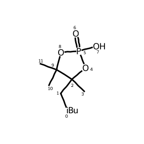 CCC(C)CC1(C)OP(=O)(O)OC1(C)C